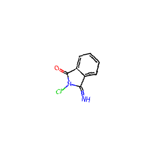 N=C1c2ccccc2C(=O)N1Cl